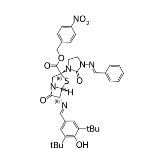 CC(C)(C)c1cc(C=N[C@@H]2C(=O)N3C[C@@](C(=O)OCc4ccc([N+](=O)[O-])cc4)(N4CCN(N=Cc5ccccc5)C4=O)S[C@H]23)cc(C(C)(C)C)c1O